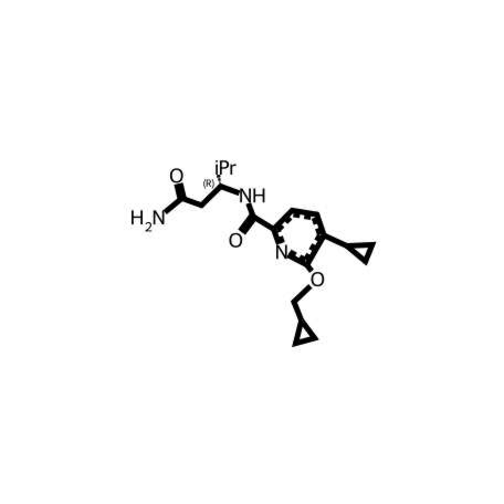 CC(C)[C@@H](CC(N)=O)NC(=O)c1ccc(C2CC2)c(OCC2CC2)n1